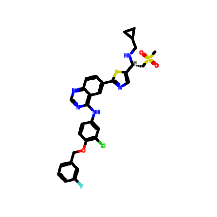 CS(=O)(=O)C[C@@H](NCC1CC1)c1cnc(-c2ccc3ncnc(Nc4ccc(OCc5cccc(F)c5)c(Cl)c4)c3c2)s1